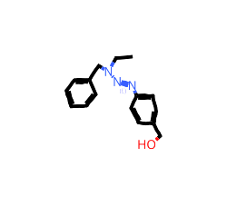 CCN(Cc1ccccc1)/N=N/c1ccc(CO)cc1